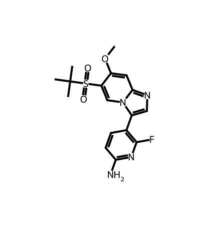 COc1cc2ncc(-c3ccc(N)nc3F)n2cc1S(=O)(=O)C(C)(C)C